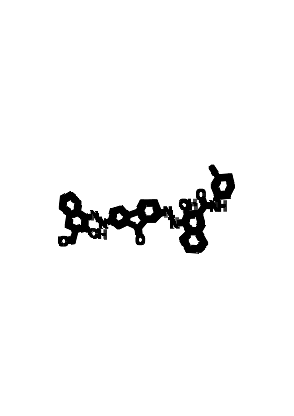 Cc1cccc(NC(=O)c2cc3ccccc3c(N=Nc3ccc4c(c3)C(=O)c3cc(N=Nc5c(O)c(C=O)cc6ccccc56)ccc3-4)c2O)c1